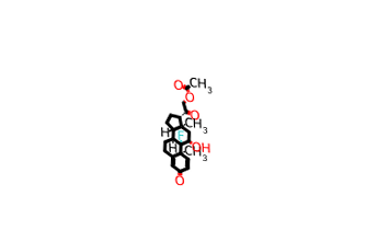 CC(=O)OCC(=O)[C@H]1CC[C@H]2[C@@H]3CCC4=CC(=O)C=C[C@]4(C)[C@@]3(F)C(O)C[C@]12C